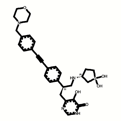 O=c1[nH]cnc(C[C@H](CN[C@@H]2CCS(O)(O)C2)c2ccc(C#Cc3ccc(CN4CCOCC4)cc3)cc2)c1O